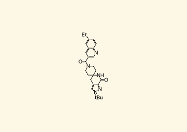 CCc1ccc2ncc(C(=O)N3CCC4(CC3)Cc3cn(C(C)(C)C)nc3C(=O)N4)cc2c1